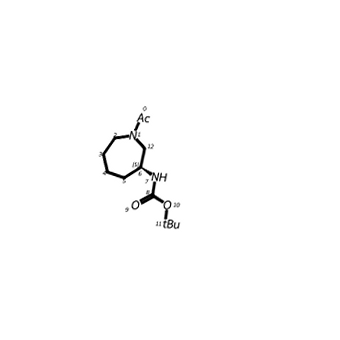 CC(=O)N1CCCC[C@H](NC(=O)OC(C)(C)C)C1